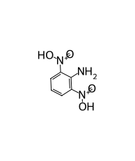 Nc1c([N+](=O)O)cccc1[N+](=O)O